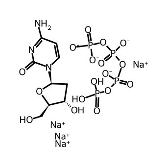 Nc1ccn([C@H]2C[C@H](O)[C@@H](CO)O2)c(=O)n1.O=P([O-])([O-])OP(=O)([O-])OP(=O)([O-])OP(=O)(O)O.[Na+].[Na+].[Na+].[Na+]